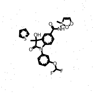 CC1(O)C(=O)N(c2cccc(OC(F)F)c2)c2ccc(C(=O)NS3(C)C=COO3)cc21.c1ccsc1